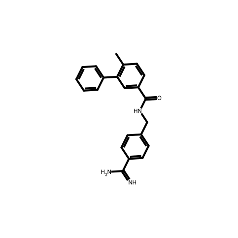 Cc1ccc(C(=O)NCc2ccc(C(=N)N)cc2)cc1-c1ccccc1